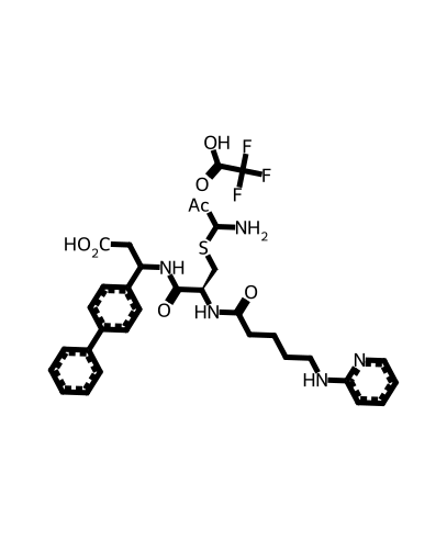 CC(=O)C(N)SC[C@@H](NC(=O)CCCCNc1ccccn1)C(=O)NC(CC(=O)O)c1ccc(-c2ccccc2)cc1.O=C(O)C(F)(F)F